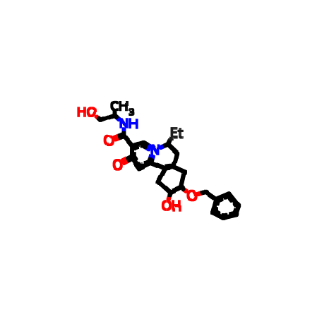 CCC1CC2=C(CC(O)C(OCc3ccccc3)C2)c2cc(=O)c(C(=O)NC(C)CO)cn21